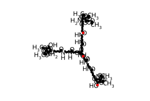 CC(=O)OCC1OC(OCCCCC(=O)NCCCNC(=O)CCOCC(N)(COCCC(=O)NCCCNC(=O)CCCCOC2OC(CO)C(OC(C)=O)C(OC(C)=O)C2N)COCCC(=O)NCCCNC(=O)CCCCOC2OC(CO)C(OC(C)=O)C(OC(C)=O)C2N)C(N)C(OC(C)=O)C1OC(C)=O